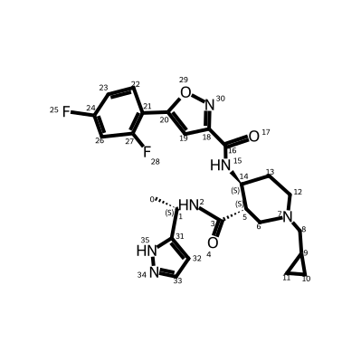 C[C@H](NC(=O)[C@H]1CN(CC2CC2)CC[C@@H]1NC(=O)c1cc(-c2ccc(F)cc2F)on1)c1ccn[nH]1